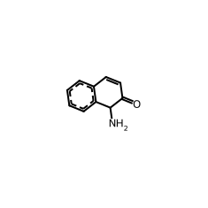 NC1C(=O)C=Cc2ccccc21